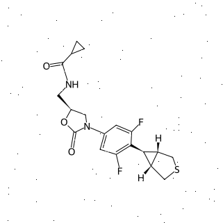 O=C(NC[C@H]1CN(c2cc(F)c([C@H]3[C@@H]4CSC[C@@H]43)c(F)c2)C(=O)O1)C1CC1